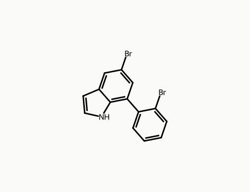 Brc1cc(-c2ccccc2Br)c2[nH]ccc2c1